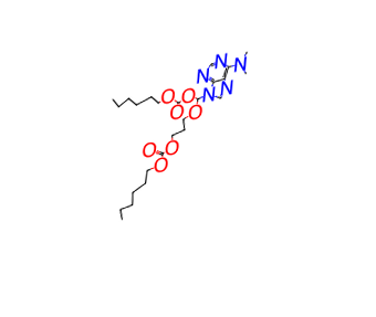 CCCCCCOC(=O)OCCCOC(OC(=O)OCCCCCC)n1cnc2c(N(C)C)ncnc21